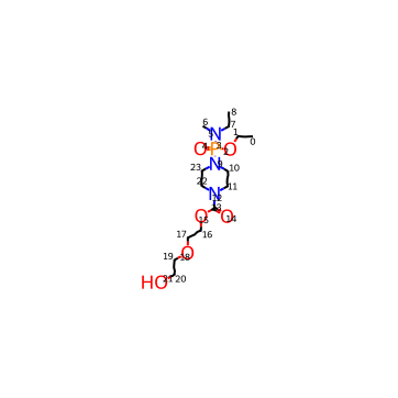 CCOP(=O)(N(C)CC)N1CCN(C(=O)OCCOCCO)CC1